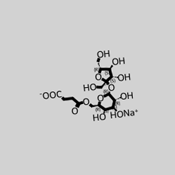 O=C([O-])CCC(=O)OC[C@H]1O[C@H](O[C@]2(CO)O[C@H](CO)[C@@H](O)[C@@H]2O)[C@H](O)[C@@H](O)[C@@H]1O.[Na+]